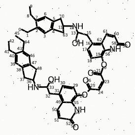 CCc1cc2c(cc1CC)CC(NC(O)Cc1ccc(OC(=O)/C=C\C(=O)Oc3ccc(CC(O)NC4Cc5cc(CC)c(CC)cc5C4)c4ccc(=O)[nH]c34)c3[nH]c(=O)ccc13)C2